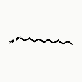 O=C=NCCCCCCCCCCF